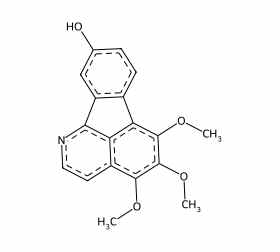 COc1c(OC)c2c3c(nccc3c1OC)-c1cc(O)ccc1-2